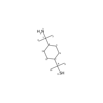 CC(C)(N)C1CCC(C(C)(C)S)CC1